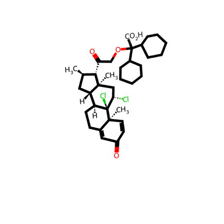 C[C@@H]1C[C@H]2[C@@H]3CCC4=CC(=O)C=C[C@]4(C)[C@@]3(Cl)[C@@H](Cl)C[C@]2(C)[C@H]1C(=O)COC(C(=O)O)(C1CCCCC1)C1CCCCC1